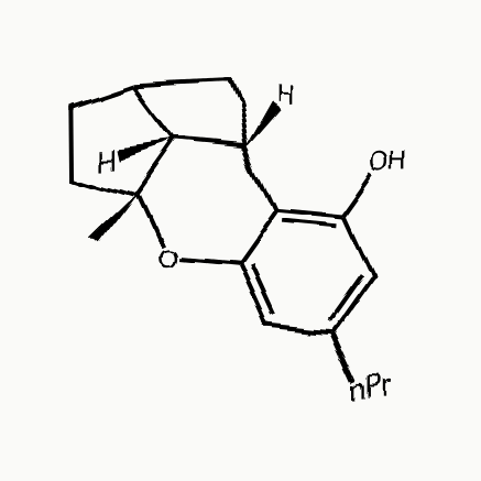 CCCc1cc(O)c2c(c1)O[C@]1(C)CCC3C[C@H]2[C@@H]31